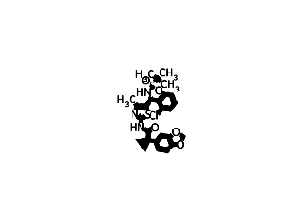 Cc1nc(NC(=O)C2(c3ccc4c(c3)OCO4)CC2)sc1[C@H](NS(=O)(=O)C(C)(C)C)c1ccccc1Cl